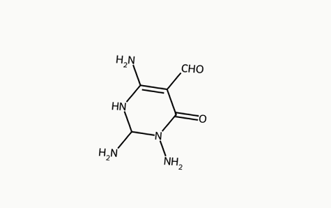 NC1=C(C=O)C(=O)N(N)C(N)N1